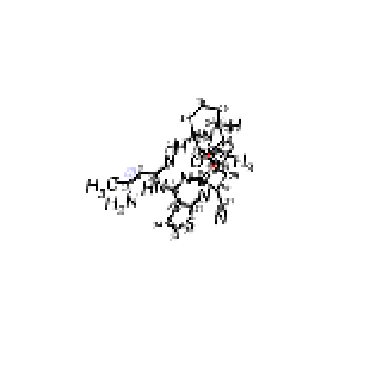 C/C(N)=C/C(=N)Nc1nc(N(C)[C@@H]2C[C@H]3CCC[C@@H](C2)N3S(=O)(=O)N2CC(C#N)C2)nc2sccc12